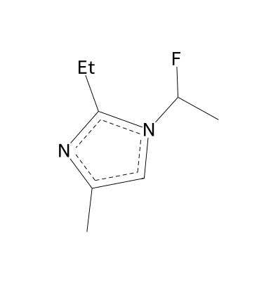 CCc1nc(C)cn1C(C)F